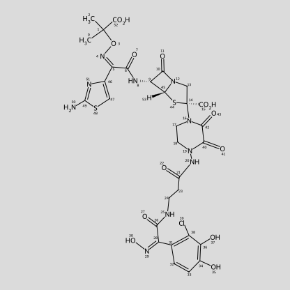 CC(C)(O/N=C(\C(=O)N[C@@H]1C(=O)N2C[C@@](C(=O)O)(N3CCN(NC(=O)CCNC(=O)/C(=N\O)c4ccc(O)c(O)c4Cl)C(=O)C3=O)S[C@H]12)c1csc(N)n1)C(=O)O